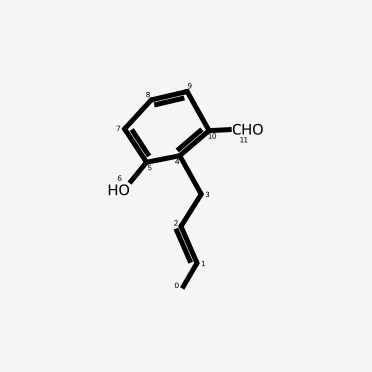 C/C=C/Cc1c(O)cccc1C=O